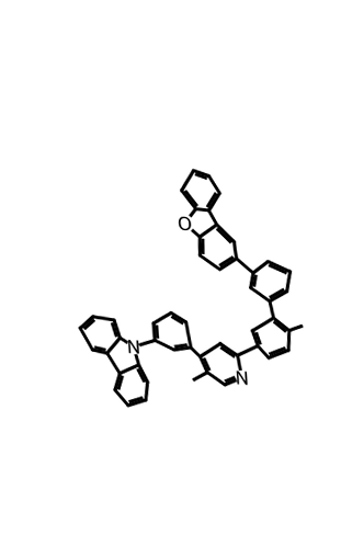 Cc1ccc(-c2cc(-c3cccc(-n4c5ccccc5c5ccccc54)c3)c(C)cn2)cc1-c1cccc(-c2ccc3oc4ccccc4c3c2)c1